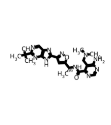 C[C@@H](NC(=O)c1ncnc(N)c1CN(C)C)c1cc(-c2nc3cnc(C(C)(C)C)nc3[nH]2)no1